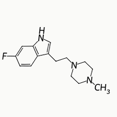 CN1CCN(CCc2c[nH]c3cc(F)ccc23)CC1